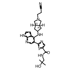 CC(C)(O)CNC(=O)c1cnc(-c2cnc3[nH]ccc3c2NC2C[C@@H]3CN(CCC#N)C[C@@H]3C2)s1